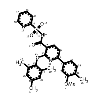 COc1cc(-c2ccc(C(=O)NS(=O)(=O)c3ccccn3)c(Oc3c(C)cc(C)cc3C)n2)ccc1C